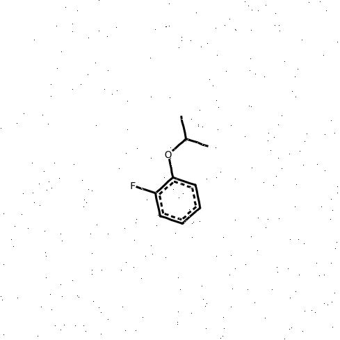 C[C](C)Oc1ccccc1F